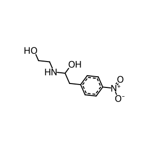 O=[N+]([O-])c1ccc(CC(O)NCCO)cc1